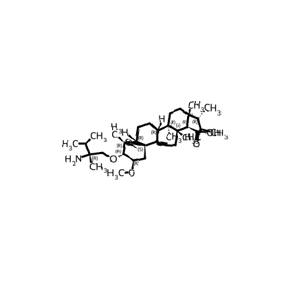 CO[C@@H]1C[C@@]23CCOC[C@@](C)([C@@H]2CC[C@H]2C3=CC[C@@]3(C)[C@H](C(=O)O)[C@@](C)([C@H](C)C(C)C)CC[C@]23C)[C@H]1OC[C@](C)(N)C(C)C